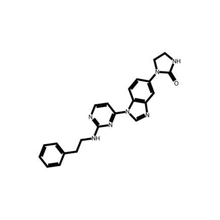 O=C1NCCN1c1ccc2c(c1)ncn2-c1ccnc(NCCc2ccccc2)n1